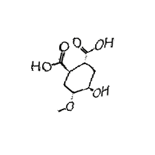 CO[C@@H]1C[C@@H](C(=O)O)[C@H](C(=O)O)C[C@H]1O